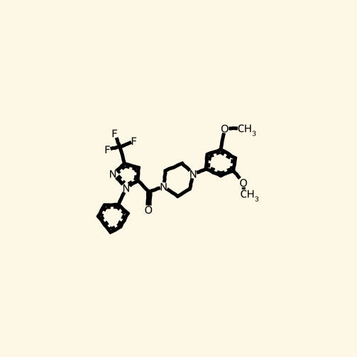 COc1cc(OC)cc(N2CCN(C(=O)c3cc(C(F)(F)F)nn3-c3ccccc3)CC2)c1